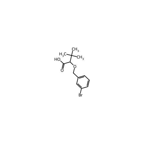 CC(C)(C)C(OCc1cccc(Br)c1)C(=O)O